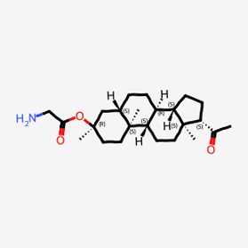 CC(=O)[C@H]1CC[C@H]2[C@@H]3CC[C@H]4C[C@](C)(OC(=O)CN)CC[C@]4(C)[C@H]3CC[C@]12C